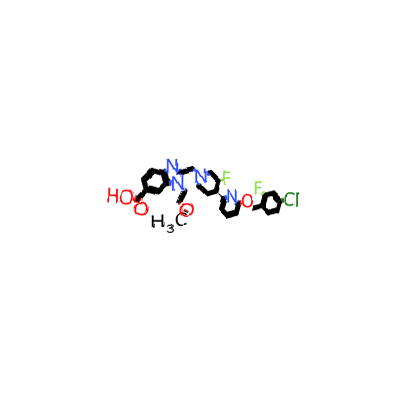 COCCn1c(CN2CC[C@@H](c3cccc(OCc4ccc(Cl)cc4F)n3)[C@H](F)C2)nc2ccc(C(=O)O)cc21